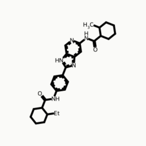 CCC1CCCCC1C(=O)Nc1ccc(-c2nc3cc(NC(=O)C4CCCCC4C)ncc3[nH]2)cc1